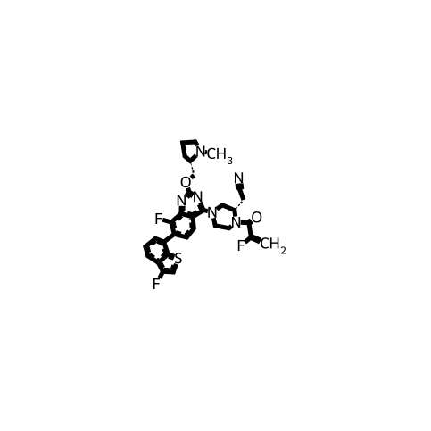 C=C(F)C(=O)N1CCN(c2nc(OC[C@@H]3CCCN3C)nc3c(F)c(-c4cccc5c(F)csc45)ccc23)C[C@@H]1CC#N